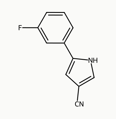 N#Cc1c[nH]c(-c2cccc(F)c2)c1